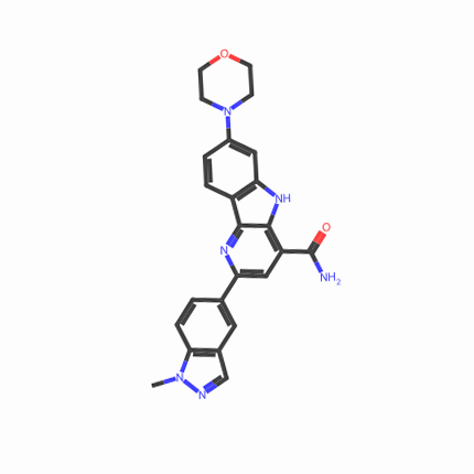 Cn1ncc2cc(-c3cc(C(N)=O)c4[nH]c5cc(N6CCOCC6)ccc5c4n3)ccc21